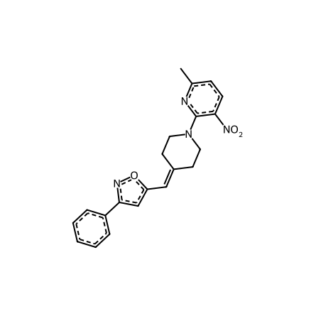 Cc1ccc([N+](=O)[O-])c(N2CCC(=Cc3cc(-c4ccccc4)no3)CC2)n1